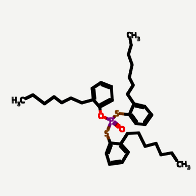 CCCCCCCc1ccccc1OP(=O)(Sc1ccccc1CCCCCCC)Sc1ccccc1CCCCCCC